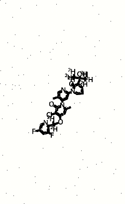 [2H]C([2H])(Oc1cc(C)n(-c2cc(-n3cccc(C(O)(C([2H])([2H])[2H])C([2H])([2H])[2H])c3=O)ncc2C)c(=O)c1Cl)c1ncc(F)cc1F